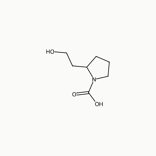 O=C(O)N1CCCC1CCO